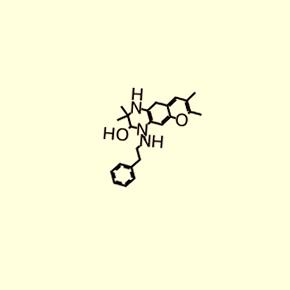 CC1=C(C)OC2=CC3=C(CC2=C1)NC(C)(C)C(O)N3NCCc1ccccc1